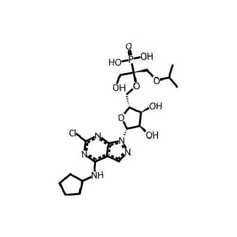 CC(C)OC[C@](CO)(OC[C@H]1O[C@@H](n2ncc3c(NC4CCCC4)nc(Cl)nc32)[C@H](O)[C@@H]1O)P(=O)(O)O